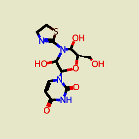 O=c1ccn([C@@H]2O[C@H](CO)C(O)N(C3=NCCS3)C2O)c(=O)[nH]1